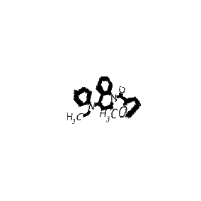 CCN(c1ccccc1)C1CC(C)N(C(=O)c2ccco2)c2ccccc21